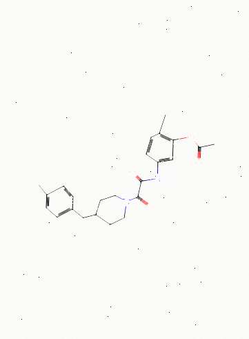 CC(=O)Oc1cc(NC(=O)C(=O)N2CCC(Cc3ccc(F)cc3)CC2)ccc1C